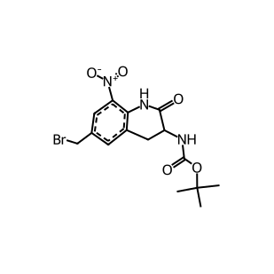 CC(C)(C)OC(=O)NC1Cc2cc(CBr)cc([N+](=O)[O-])c2NC1=O